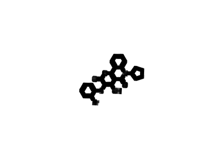 O=c1oc2c(c(O)c1Sc1ccccc1Br)c(=O)n(C1CCCC1)c1ccccc21